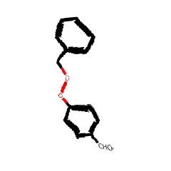 O=[C]c1ccc(OOCc2ccccc2)cc1